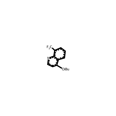 CC(C)COc1ccnc2c(C(F)(F)F)cccc12